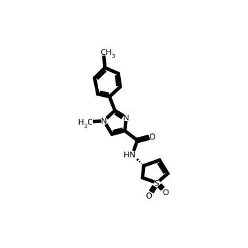 Cc1ccc(-c2nc(C(=O)N[C@@H]3C=CS(=O)(=O)C3)cn2C)cc1